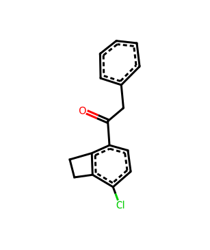 O=C(Cc1ccccc1)c1ccc(Cl)c2c1CC2